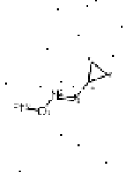 CCO/N=[C]/C1CC1